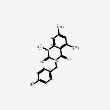 COc1cc(OC)c2c(=O)n(Cc3ccc(Br)cc3)c(=O)n(C)c2c1